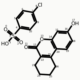 O=S(=O)(O)c1ccc(Cl)cc1.O=c1oc2cc(O)ccc2c2c1CCCC2